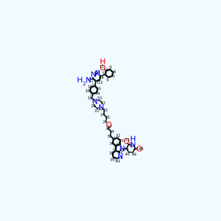 Nc1nnc(-c2ccccc2O)cc1-c1ccc(CN2CCN(CCCCOCCCc3ccc4c(c3)c3cccnc3n4C3CCC(=O)NC3=O)CC2)cc1